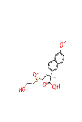 COc1ccc2cc([C@](C)(CC[S+]([O-])CCO)C(=O)O)ccc2c1